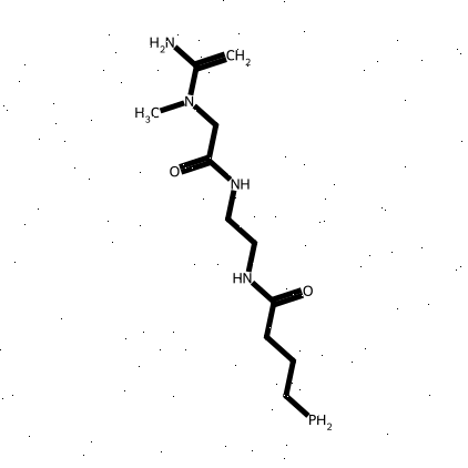 C=C(N)N(C)CC(=O)NCCNC(=O)CCCP